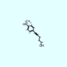 CNc1ccc(C#CCCCO)cc1